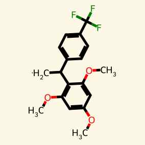 [CH2]C(c1ccc(C(F)(F)F)cc1)c1c(OC)cc(OC)cc1OC